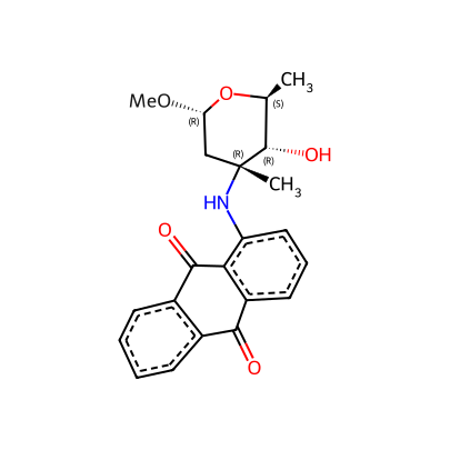 CO[C@H]1C[C@@](C)(Nc2cccc3c2C(=O)c2ccccc2C3=O)[C@@H](O)[C@H](C)O1